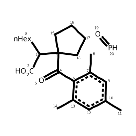 CCCCCCC(C(=O)O)C1(C(=O)c2c(C)cc(C)cc2C)CCCC1.O=P